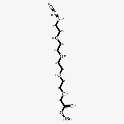 CC(C)(C)OC(=O)COCCOCCOCCOCCN=C=O